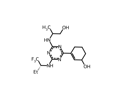 CC[C@@H](Nc1nc(NC(C)CO)nc(C2=CC(O)CCC2)n1)C(F)(F)F